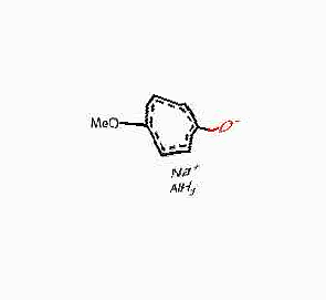 COc1ccc([O-])cc1.[AlH3].[Na+]